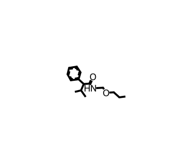 CCCOCNC(=O)C(c1ccccc1)C(C)C